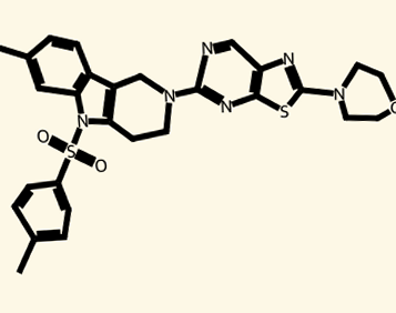 Cc1ccc(S(=O)(=O)n2c3c(c4ccc(F)cc42)CN(c2ncc4nc(N5CCOCC5)sc4n2)CC3)cc1